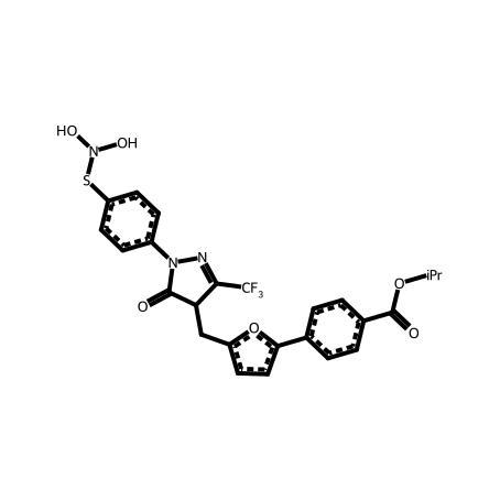 CC(C)OC(=O)c1ccc(-c2ccc(CC3C(=O)N(c4ccc(SN(O)O)cc4)N=C3C(F)(F)F)o2)cc1